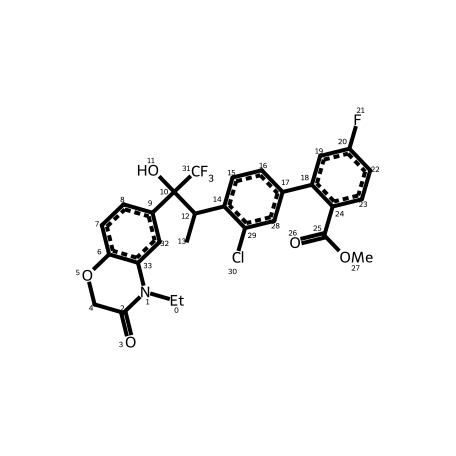 CCN1C(=O)COc2ccc(C(O)(C(C)c3ccc(-c4cc(F)ccc4C(=O)OC)cc3Cl)C(F)(F)F)cc21